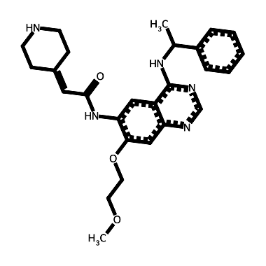 COCCOc1cc2ncnc(NC(C)c3ccccc3)c2cc1NC(=O)C=C1CCNCC1